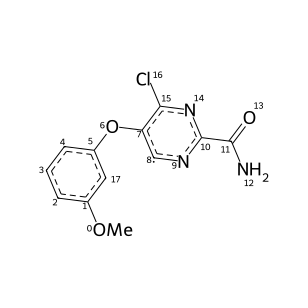 COc1cccc(Oc2[c]nc(C(N)=O)nc2Cl)c1